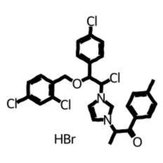 Br.Cc1ccc(C(=O)C(C)N2C=CN(C(Cl)C(OCc3ccc(Cl)cc3Cl)c3ccc(Cl)cc3)C2)cc1